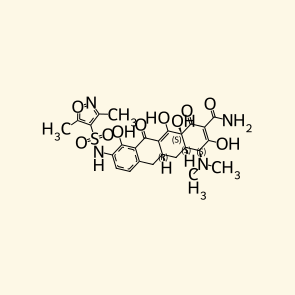 Cc1noc(C)c1S(=O)(=O)Nc1ccc2c(c1O)C(=O)C1=C(O)[C@]3(O)C(=O)C(C(N)=O)=C(O)[C@@H](N(C)C)[C@@H]3C[C@@H]1C2